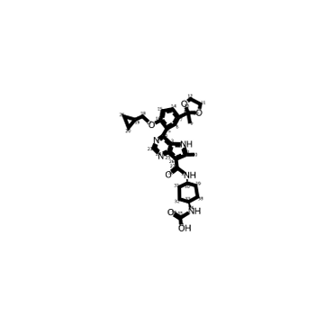 Cc1[nH]c2c(-c3cc(C4(C)OCCO4)ccc3OCC3CC3)ncnc2c1C(=O)N[C@H]1CC[C@H](NC(=O)O)CC1